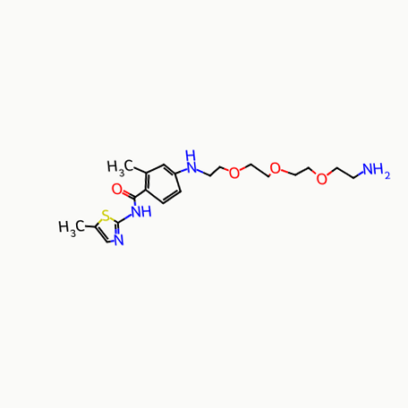 Cc1cnc(NC(=O)c2ccc(NCCOCCOCCOCCN)cc2C)s1